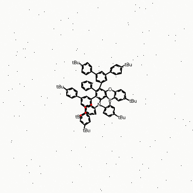 CC(C)(C)c1ccc(-c2cc(-c3ccc(C(C)(C)C)cc3)cc(-c3c4c5c(c(-c6cc(-c7ccc(C(C)(C)C)cc7)cc(-c7ccc(C(C)(C)C)cc7)c6)c3-c3ccccc3)N(c3ccc(C(C)(C)C)cc3)c3ccc(C(C)(C)C)cc3B5c3cc(C(C)(C)C)ccc3O4)c2)cc1